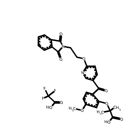 COc1ccc(C(=O)c2ccc(OCCN3C(=O)c4ccccc4C3=O)nc2)c(OC(C)(C)C(=O)O)c1.O=C(O)C(F)(F)F